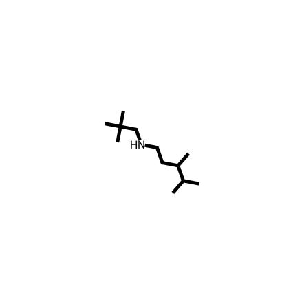 CC(C)C(C)CCNCC(C)(C)C